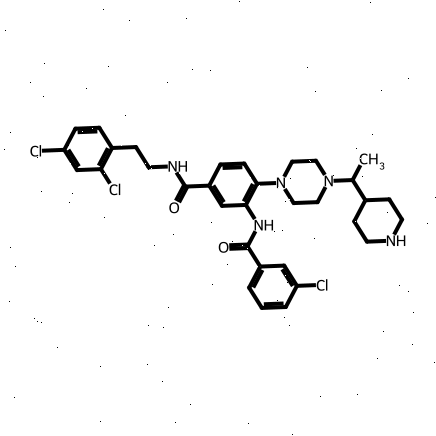 CC(C1CCNCC1)N1CCN(c2ccc(C(=O)NCCc3ccc(Cl)cc3Cl)cc2NC(=O)c2cccc(Cl)c2)CC1